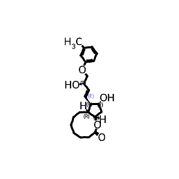 Cc1cccc(OC[C@H](O)/C=C/[C@@H]2[C@H]3CCCCCCC(=O)O[C@H]3C[C@H]2O)c1